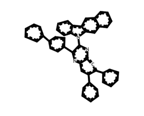 c1ccc(-c2ccc(-c3nc4cc(-c5ccccc5)c(-c5ccccc5)cc4nc3-n3c4ccccc4c4cc5ccccc5cc43)cc2)cc1